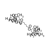 C=C(C)C(=O)N1C(C)(C)CC(OC(=O)CCCCC(=O)OC2CC(C)(C)N(C(=O)C(=C)C)C(C)(C)C2)CC1(C)C